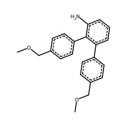 COCc1ccc(-c2cccc(N)c2-c2ccc(COC)cc2)cc1